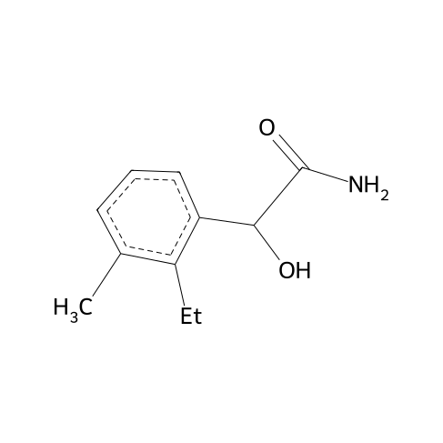 CCc1c(C)cccc1C(O)C(N)=O